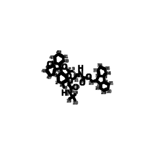 Cc1ccc(C(OC(=O)C[C@@H](COCC(=O)NC(C)(C)C)NC(=O)OCC2c3ccccc3-c3ccccc32)(c2ccccc2)c2ccccc2Cl)cc1